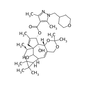 CC1=C[C@]23C(O)[C@@H](C=C4COC(C)(C)O[C@H]4[C@]2(O)[C@H]1OC(=O)c1c(C)nn(CC2CCOCC2)c1C)[C@H]1C(C)(C)C1(C)C[C@H]3C